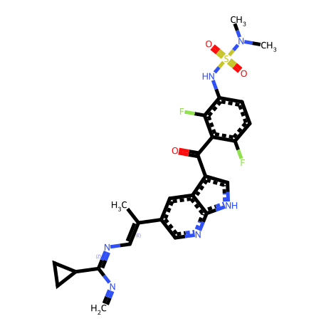 C=N/C(=N\C=C(/C)c1cnc2[nH]cc(C(=O)c3c(F)ccc(NS(=O)(=O)N(C)C)c3F)c2c1)C1CC1